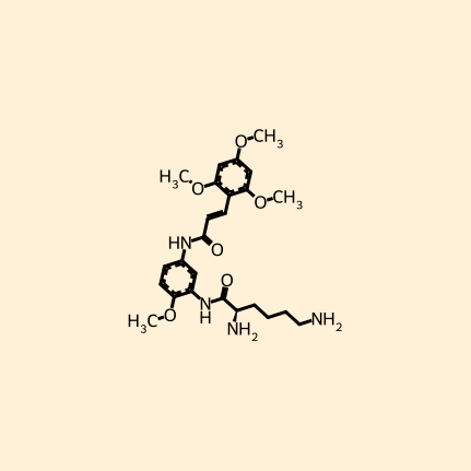 COc1cc(OC)c(/C=C/C(=O)Nc2ccc(OC)c(NC(=O)[C@H](N)CCCCN)c2)c(OC)c1